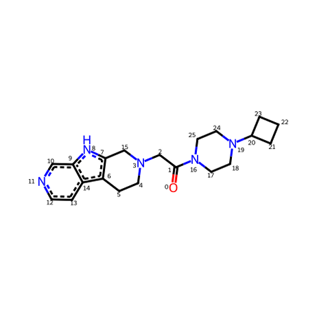 O=C(CN1CCc2c([nH]c3cnccc23)C1)N1CCN(C2CCC2)CC1